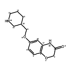 O=C1COc2ccc(OCC3CCCNC3)cc2N1